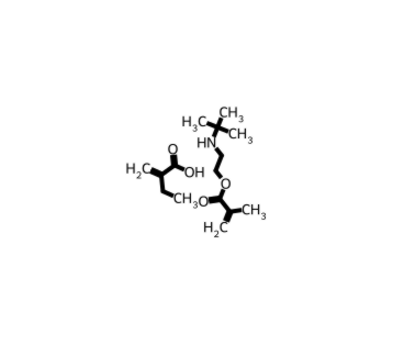 C=C(C)C(=O)OCCNC(C)(C)C.C=C(CC)C(=O)O